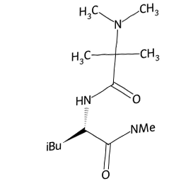 CC[C@H](C)[C@H](NC(=O)C(C)(C)N(C)C)C(=O)NC